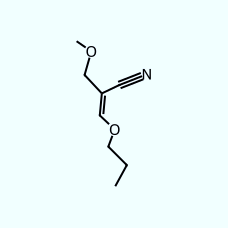 CCCO/C=C(\C#N)COC